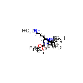 O=C(O)NCCCCC(CCC(NC(=O)O)(C(C(F)(F)F)C(F)(F)F)C(C(F)(F)F)C(F)(F)F)CNC(=O)OC(C(F)(F)F)C(F)(F)F